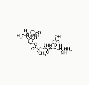 CCN(CCNC(=O)[C@H](CCCNC(=N)N)NC(=O)CC(=O)O)C(=O)Oc1ccc2c3c1O[C@H]1C(=O)CCC4[C@@H](C2)N(C)CC[C@@]341